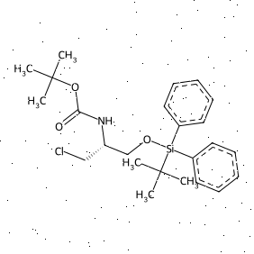 CC(C)(C)OC(=O)N[C@@H](CCl)CO[Si](c1ccccc1)(c1ccccc1)C(C)(C)C